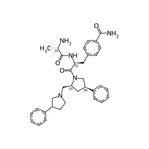 C[C@H](N)C(=O)N[C@@H](Cc1ccc(C(N)=O)cc1)C(=O)N1C[C@@H](c2ccccc2)C[C@H]1CN1CCC(c2ccccc2)C1